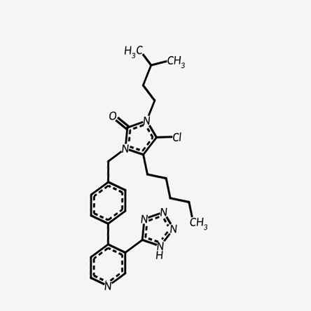 CCCCCc1c(Cl)n(CCC(C)C)c(=O)n1Cc1ccc(-c2ccncc2-c2nnn[nH]2)cc1